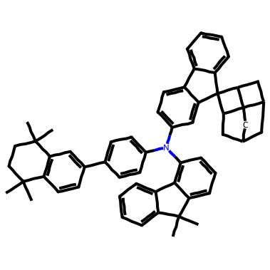 CC1(C)CCC(C)(C)c2cc(-c3ccc(N(c4ccc5c(c4)C4(c6ccccc6-5)C5CC6CC7CC4C75C6)c4cccc5c4-c4ccccc4C5(C)C)cc3)ccc21